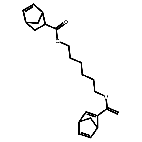 C=C(OCCCCCCOC(=O)C1CC2C=CC1C2)C1=CC2C=CC1C2